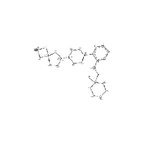 CC1(COc2ccccc2C2CCN([C@@H]3CCC4(CNC4)C3)CC2)CCOCC1